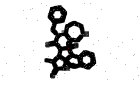 CC1C(=O)NC23C=Cc4ccccc4C2S(=O)(=O)[C](C(=O)N(Cc2ccccc2)[C@H]2CCCNCC2=O)C13